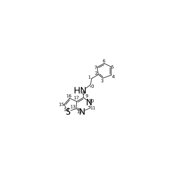 [CH](Cc1ccccc1)Nc1ncnc2sccc12